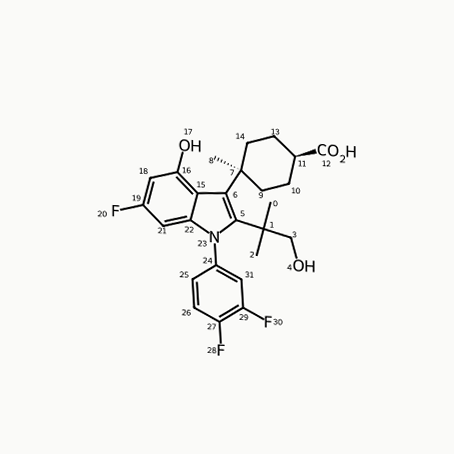 CC(C)(CO)c1c([C@]2(C)CC[C@H](C(=O)O)CC2)c2c(O)cc(F)cc2n1-c1ccc(F)c(F)c1